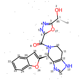 C[C@@H](O)c1nnc(C(=O)N2CCc3[nH]cnc3[C@H]2c2cc3ccccc3o2)o1